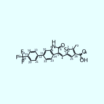 Cc1[se]c(/C=C2\C(=O)Nc3cc(-c4ccc(C(F)(F)F)cc4)ccc32)cc1C(=O)O